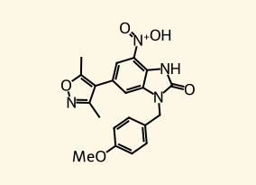 COc1ccc(Cn2c(=O)[nH]c3c([N+](=O)O)cc(-c4c(C)noc4C)cc32)cc1